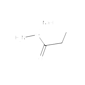 CCC(=O)ON.[NaH]